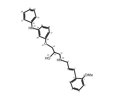 COc1ccccc1C=CCNCC(O)COc1cccc(Nc2ccccc2)c1